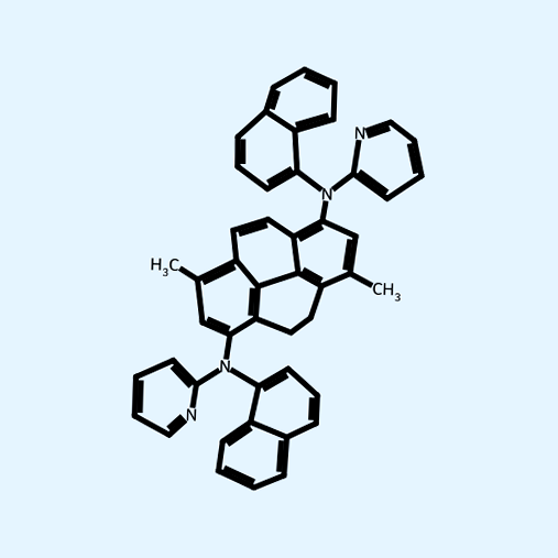 Cc1cc(N(c2ccccn2)c2cccc3ccccc23)c2ccc3c(C)cc(N(c4ccccn4)c4cccc5ccccc45)c4c3c2c1CC4